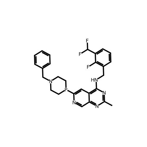 Cc1nc(NCc2cccc(C(F)F)c2F)c2cc(P3CCN(Cc4ccccc4)CC3)ncc2n1